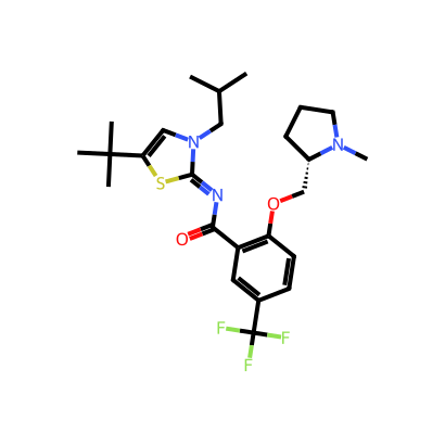 CC(C)Cn1cc(C(C)(C)C)s/c1=N\C(=O)c1cc(C(F)(F)F)ccc1OC[C@@H]1CCCN1C